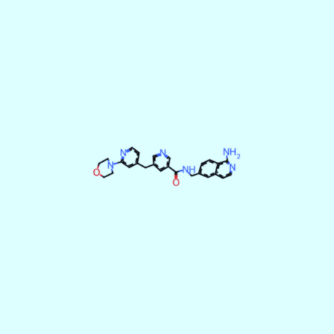 Nc1nccc2cc(CNC(=O)c3cncc(Cc4ccnc(N5CCOCC5)c4)c3)ccc12